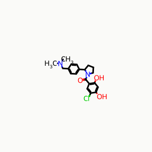 CN(C)Cc1ccc(C2CCCN2C(=O)c2cc(Cl)c(O)cc2O)cc1